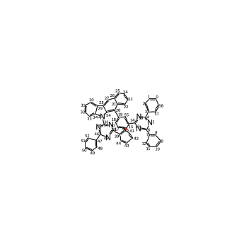 c1ccc(-c2nc(-c3ccccc3)nc(-c3cccc(-c4c5ccccc5cc5c6ccccc6n(-c6nc(-c7ccccc7)nc(-c7ccccc7)n6)c45)c3)n2)cc1